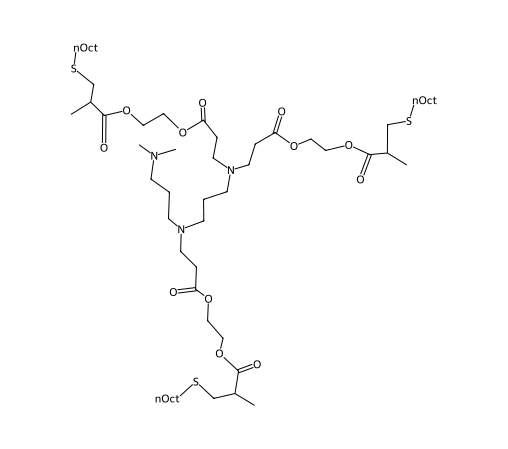 CCCCCCCCSCC(C)C(=O)OCCOC(=O)CCN(CCCN(C)C)CCCN(CCC(=O)OCCOC(=O)C(C)CSCCCCCCCC)CCC(=O)OCCOC(=O)C(C)CSCCCCCCCC